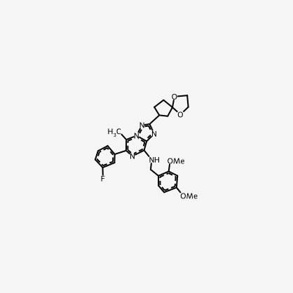 COc1ccc(CNc2nc(-c3cccc(F)c3)c(C)n3nc(C4CCC5(C4)OCCO5)nc23)c(OC)c1